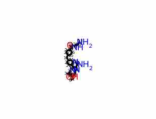 CCOCc1nc2c(N)nc3cc(Cc4ccc(C(=O)NCCN)cc4)ccc3c2n1CC(C)(C)O